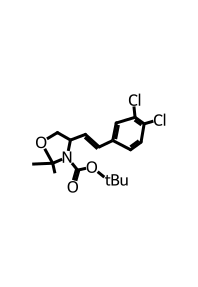 CC(C)(C)OC(=O)N1C(C=Cc2ccc(Cl)c(Cl)c2)COC1(C)C